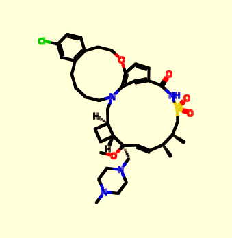 CO[C@]1(CN2CCN(C)CC2)/C=C/[C@H](C)[C@H](C)CS(=O)(=O)NC(=O)c2ccc3c(c2)N(CCCCc2cc(Cl)ccc2CCO3)C[C@@H]2CC[C@H]21